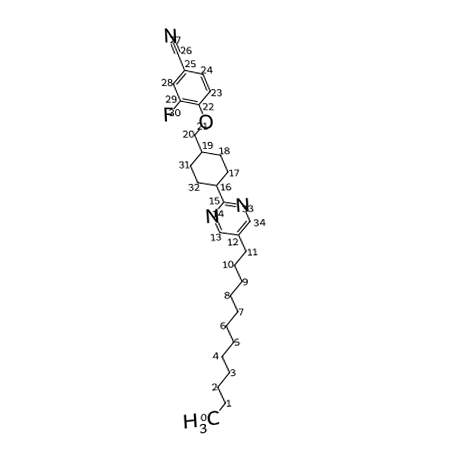 CCCCCCCCCCCCc1cnc(C2CCC(COc3ccc(C#N)cc3F)CC2)nc1